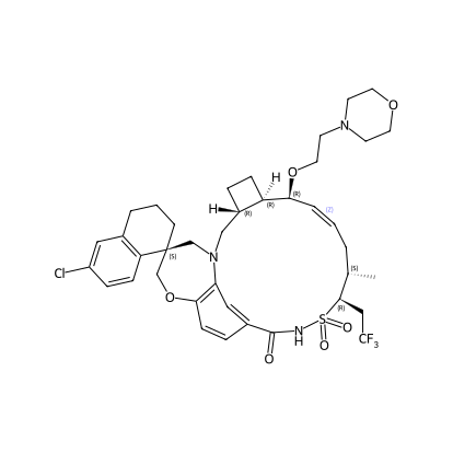 C[C@H]1C/C=C\[C@H](OCCN2CCOCC2)[C@@H]2CC[C@H]2CN2C[C@@]3(CCCc4cc(Cl)ccc43)COc3ccc(cc32)C(=O)NS(=O)(=O)[C@@H]1CC(F)(F)F